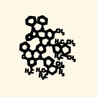 Cc1cc2c3c(c1)N(c1ccc4c(c1)C(C)(C)CCC4(C)C)c1cc4c(cc1B3c1ccccc1O2)B1c2c(cc(C)cc2N(c2ccccc2)c2c1c1ccccc1n2-c1ccccc1)N4c1ccc2c(c1)C(C)(C)CCC2(C)C